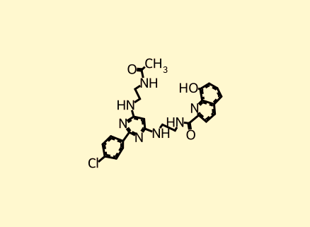 CC(=O)NCCNc1cc(NCCNC(=O)c2ccc3cccc(O)c3n2)nc(-c2ccc(Cl)cc2)n1